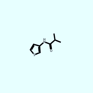 CC(C)C(=O)Nc1ccsc1